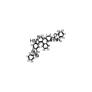 CN(NC(=O)c1ccc(-c2cnc3[nH]c4ccc(CS(=O)(=O)c5ccccc5)cc4c3c2-c2ccccc2)cc1)c1ccccc1